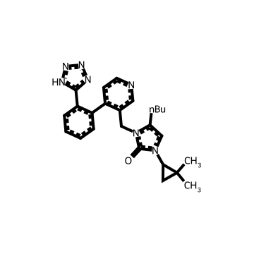 CCCCc1cn(C2CC2(C)C)c(=O)n1Cc1cnccc1-c1ccccc1-c1nnn[nH]1